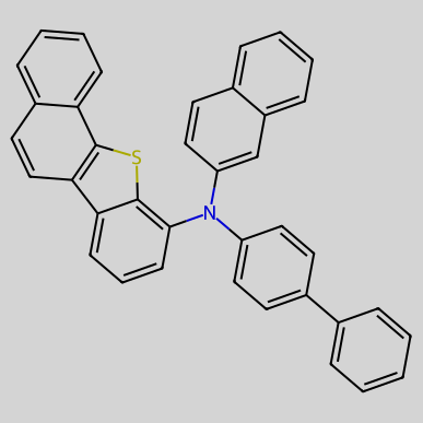 c1ccc(-c2ccc(N(c3ccc4ccccc4c3)c3cccc4c3sc3c5ccccc5ccc43)cc2)cc1